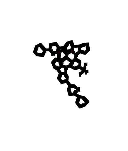 Fc1cccc(F)c1-c1c(-n2c3ccccc3c3ccc(-c4ccc(-c5ccccc5)nc4)cc32)cc(C(F)(F)F)cc1-n1c2ccccc2c2ccc(-c3ccc(-c4ccccc4)nc3)cc21